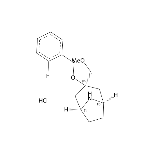 COC[C@]1(OCc2ccccc2F)C[C@H]2CC[C@@H](C1)N2.Cl